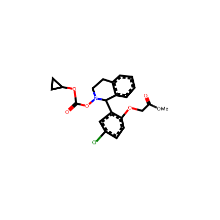 COC(=O)COc1ccc(Cl)cc1C1c2ccccc2CCN1OC(=O)OC1CC1